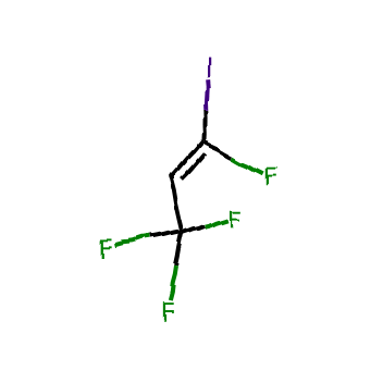 F/C(I)=C\C(F)(F)F